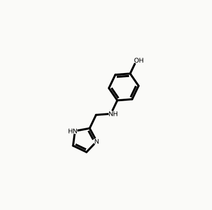 Oc1ccc(NCc2ncc[nH]2)cc1